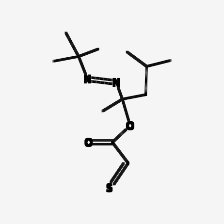 CC(C)CC(C)(N=NC(C)(C)C)OC(=O)C=S